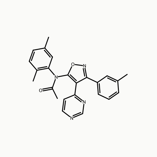 CC(=O)N(c1cc(C)ccc1C)c1onc(-c2cccc(C)c2)c1-c1ccncn1